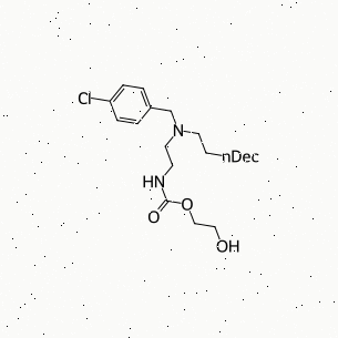 CCCCCCCCCCCCN(CCNC(=O)OCCO)Cc1ccc(Cl)cc1